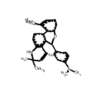 COc1cccc2c1-c1ccc3c(c1C(c1ccc(N(C)C)cc1)O2)C(C)=CC(C)(C)N3